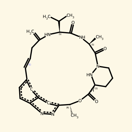 C=C1C/C=C/c2ccc3nnc(cc3c2)[C@@H](C)OC(=O)[C@@H]2CCCN(N2)C(=O)[C@H](C)NC(=O)[C@H](C(C)C)N1